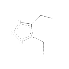 CCc1nnnn1CI